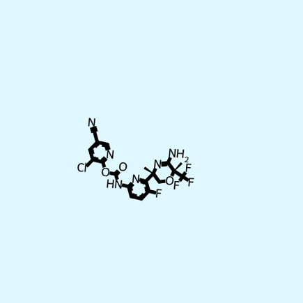 C[C@]1(c2nc(NC(=O)Oc3ncc(C#N)cc3Cl)ccc2F)CO[C@@](C)(C(F)(F)F)C(N)=N1